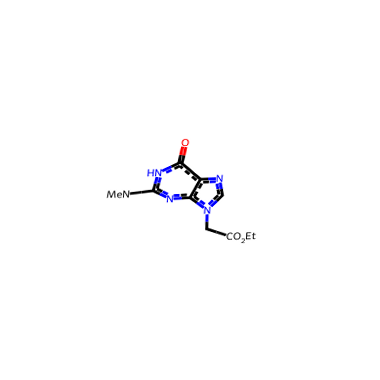 CCOC(=O)Cn1cnc2c(=O)[nH]c(NC)nc21